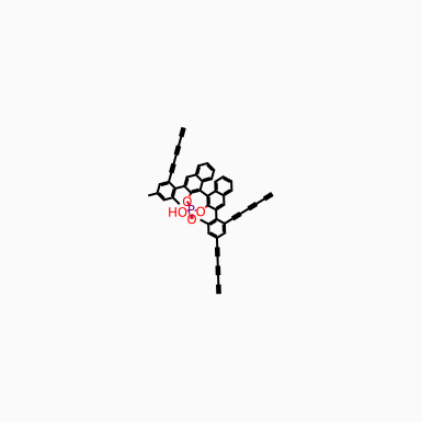 C#CC#CC#Cc1cc(C)c(-c2cc3ccccc3c3c2OP(=O)(O)Oc2c(-c4c(C)cc(C)cc4C#CC#CC#C)cc4ccccc4c2-3)c(C#CC#CC#C)c1